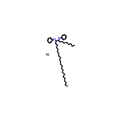 CCCCCCCCCCCCCCCCCCCC/C=C/C(=N\c1ccccc1)C(/CCCCCCCC)=N/c1ccccc1.[Ni]